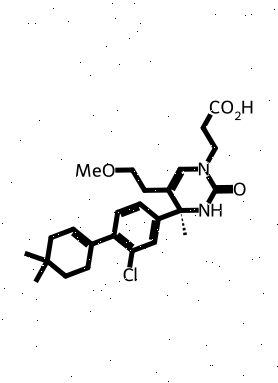 COCCC1=CN(CCC(=O)O)C(=O)N[C@@]1(C)c1ccc(C2=CCC(C)(C)CC2)c(Cl)c1